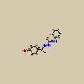 C/C(=N\NC(=O)Nc1ccccc1)c1ccc(O)cc1